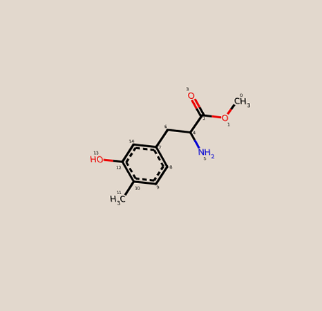 COC(=O)C(N)Cc1ccc(C)c(O)c1